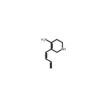 C=C/C=C\C1=C(N)CCNC1